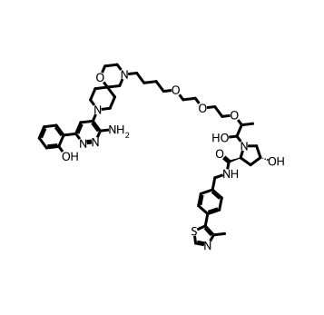 Cc1ncsc1-c1ccc(CNC(=O)[C@@H]2C[C@@H](O)CN2C(O)C(C)OCCOCCOCCCCN2CCOC3(CCN(c4cc(-c5ccccc5O)nnc4N)CC3)C2)cc1